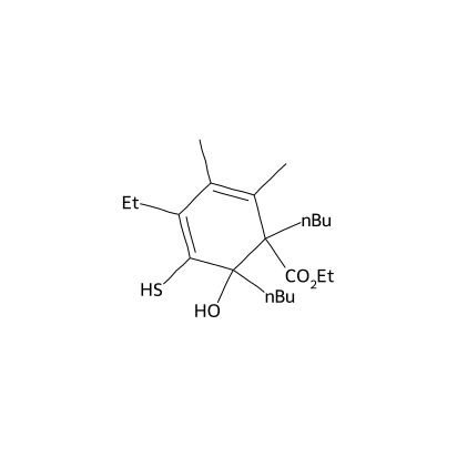 CCCCC1(O)C(S)=C(CC)C(C)=C(C)C1(CCCC)C(=O)OCC